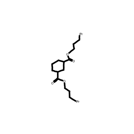 CC(C)CCCOC(=O)C1CCCC(C(=O)OCCCC(C)C)C1